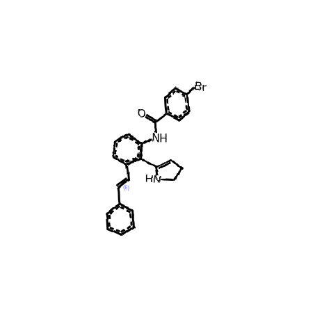 O=C(Nc1cccc(/C=C/c2ccccc2)c1C1=CCCN1)c1ccc(Br)cc1